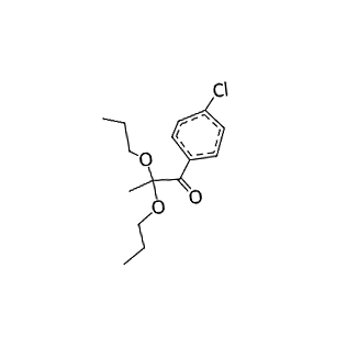 CCCOC(C)(OCCC)C(=O)c1ccc(Cl)cc1